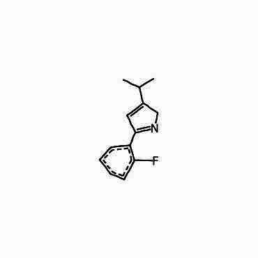 CC(C)C1=CC(c2ccccc2F)=NC1